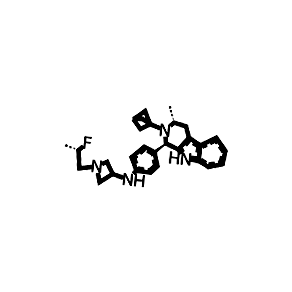 C[C@H](F)CN1CC(Nc2ccc([C@@H]3c4[nH]c5ccccc5c4C[C@@H](C)N3C34CC(C3)C4)cc2)C1